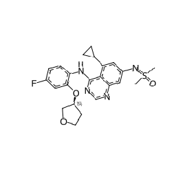 CS(C)(=O)=Nc1cc(C2CC2)c2c(Nc3ccc(F)cc3O[C@H]3CCOC3)ncnc2c1